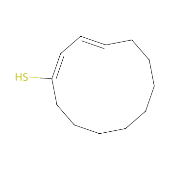 S/C1=C/C=C/CCCCCCCC1